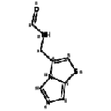 O=CNCc1csc2cncn12